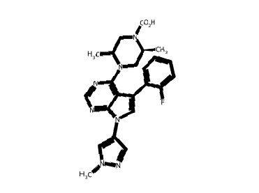 CC1CN(C(=O)O)[C@@H](C)CN1c1ncnc2c1c(-c1ccccc1F)cn2-c1cnn(C)c1